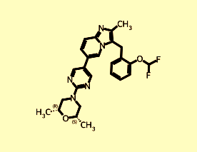 Cc1nc2ccc(-c3cnc(N4C[C@@H](C)O[C@@H](C)C4)nc3)cn2c1Cc1ccccc1OC(F)F